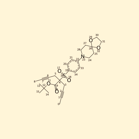 CC#CCC(CC#CC)(C(=O)OC(C)(C)C)S(=O)(=O)c1ccc(N2CCC3(CC2)OCCO3)cc1